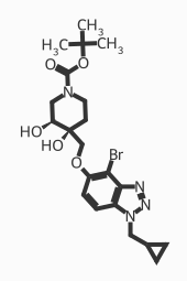 CC(C)(C)OC(=O)N1CC[C@](O)(COc2ccc3c(nnn3CC3CC3)c2Br)[C@@H](O)C1